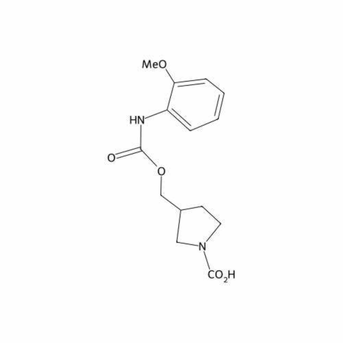 COc1ccccc1NC(=O)OCC1CCN(C(=O)O)C1